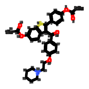 CC(C)(C)C(=O)Oc1ccc(-c2sc3cc(OC(=O)C(C)(C)C)ccc3c2C(=O)c2ccc(OCCN3CCCCC3)cc2)cc1